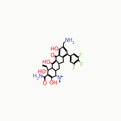 C=C[C@]1(O)C(C(N)=O)=C(O)[C@@H](N(C)C)C2CC3Cc4c(-c5cc(F)c(F)c(F)c5)cc(CN)c(O)c4C(=O)C3=C(O)C21